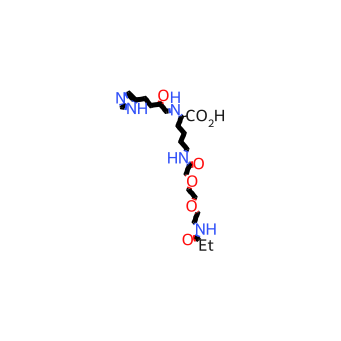 CCC(=O)NCCOCCOCC(=O)NCCCC[C@H](NCC(=O)CCc1cnc[nH]1)C(=O)O